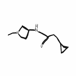 CN1CC(NC(=O)CC2CC2)C1